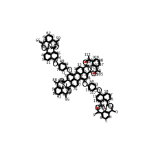 CC(C)c1cccc(C(C)C)c1N1C(=O)c2cccc3c(Oc4ccc(Oc5cc6c7c(ccc8c9c(Oc%10ccc(Oc%11ccc%12c%13c(cccc%11%13)C(=O)N(c%11c(C(C)C)cccc%11C(C)C)C%12=O)cc%10)cc%10c%11c(ccc(c5c78)c%119)C(=O)N(c5c(C(C)C)cccc5C(C)C)C%10=O)C(=O)N(c5c(C(C)C)cccc5C(C)C)C6=O)cc4)ccc(c23)C1=O